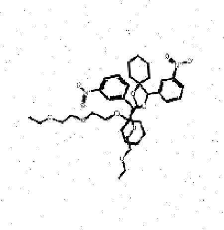 CCOCCOCCOC1(C(OC(c2cccc([N+](=O)[O-])c2)C2(OCCOCCOCC)CCCCC2)c2cccc([N+](=O)[O-])c2)CCCCC1